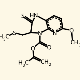 C=C(C)OC(=O)N1c2nc(OC)ccc2NC(=S)C1CSC